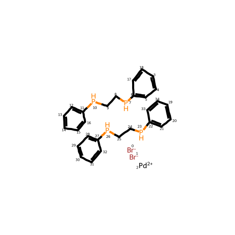 [Br-].[Br-].[Pd+2].c1ccc(PCCPc2ccccc2)cc1.c1ccc(PCCPc2ccccc2)cc1